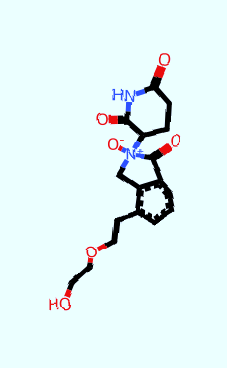 O=C1CCC([N+]2([O-])Cc3c(CCOCCO)cccc3C2=O)C(=O)N1